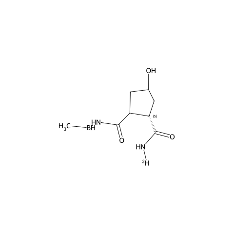 [2H]NC(=O)[C@H]1CC(O)CC1C(=O)NBC